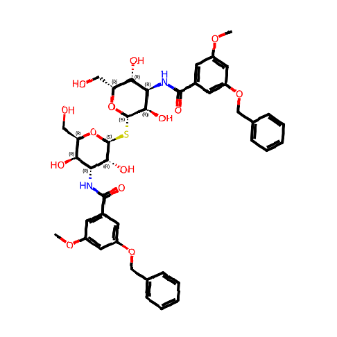 COc1cc(OCc2ccccc2)cc(C(=O)N[C@@H]2[C@@H](O)[C@@H](CO)O[C@@H](S[C@@H]3O[C@H](CO)[C@H](O)[C@@H](NC(=O)c4cc(OC)cc(OCc5ccccc5)c4)[C@H]3O)[C@@H]2O)c1